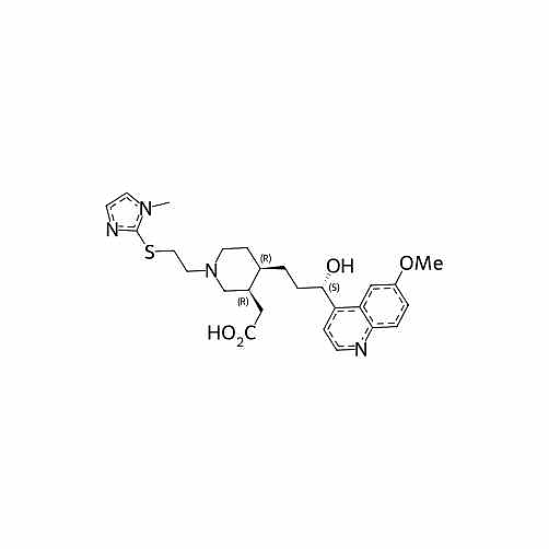 COc1ccc2nccc([C@@H](O)CC[C@@H]3CCN(CCSc4nccn4C)C[C@@H]3CC(=O)O)c2c1